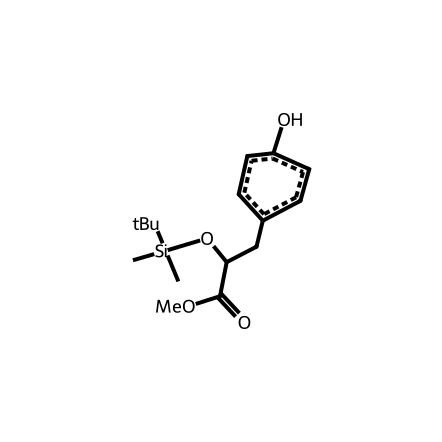 COC(=O)C(Cc1ccc(O)cc1)O[Si](C)(C)C(C)(C)C